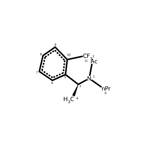 CCCN(C(C)=O)[C@@H](C)c1ccccc1C(F)(F)F